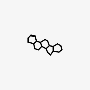 C1=CC2C(CC1)CCC1C2CCC2C3CCCCC3CCC21